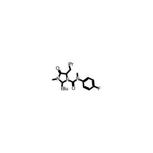 CC(C)CC1C(=O)N(C)C(C(C)(C)C)N1C(=O)N(C)c1ccc(F)cc1